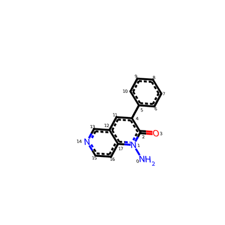 Nn1c(=O)c(-c2ccccc2)cc2cnccc21